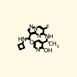 C[C@@H](Nc1nc2c(C(=O)NC3CCC3)cnn2cc1F)c1cccnc1O